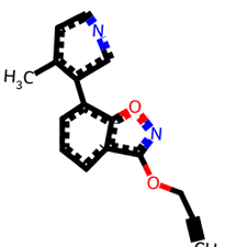 C#CCOc1noc2c(-c3cnccc3C)cccc12